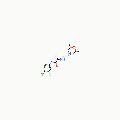 CC1CN(CCNC(=O)C(=O)Nc2ccc(Cl)c(F)c2)CC(C)O1